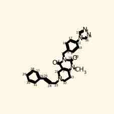 Cn1c2c(c(=O)n(Cc3ccc(-n4cnnc4)cc3)c1=O)CN(CC#Cc1ccccc1)CC2